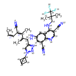 C=C(/C(C)=C(C#N)\C=C/C)[C@H](Nc1cc(C#N)c2ncc(C#N)c(NCC(C)(C)C(F)(F)F)c2c1)c1cn(C23CC(C2)C3)nn1